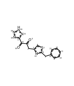 O=C(Cc1csc(Cc2ccccc2)n1)C(=O)c1nn[nH]n1